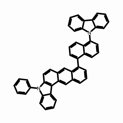 c1ccc(-n2c3ccccc3c3c4cc5cccc(-c6cccc7c(-n8c9ccccc9c9ccccc98)cccc67)c5cc4ccc32)cc1